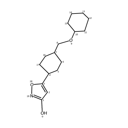 Oc1cc(C2CCC(COC3CCCCC3)CC2)on1